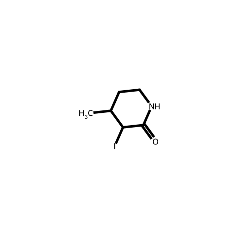 CC1CCNC(=O)C1I